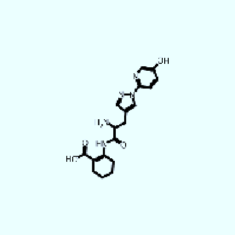 NC(Cc1cnn(-c2ccc(O)cn2)c1)C(=O)NC1=C(C(=O)O)CCCC1